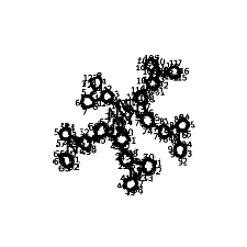 c1ccc(-c2ccccc2-c2cccc(-c3nc(-n4c5ccc(-c6ccc7c(c6)c6ccccc6n7-c6ccccc6)cc5c5cc(-c6ccc7c(c6)c6ccccc6n7-c6ccccc6)ccc54)nc(-n4c5ccc(-c6ccc7c(c6)c6ccccc6n7-c6ccccc6)cc5c5cc(-c6ccc7c(c6)c6ccccc6n7-c6ccccc6)ccc54)n3)c2)cc1